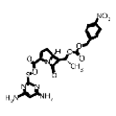 C[C@@H](OC(=O)OCc1ccc([N+](=O)[O-])cc1)C1C(=O)N2C(C(=O)OSc3nc(N)cc(N)n3)=CC[C@@H]12